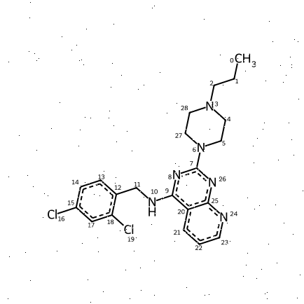 CCCN1CCN(c2nc(NCc3ccc(Cl)cc3Cl)c3cccnc3n2)CC1